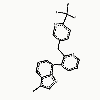 Cc1cnn2c(-c3cccnc3Cc3ccc(C(F)(F)F)nc3)cccc12